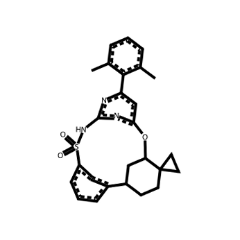 Cc1cccc(C)c1-c1cc2nc(n1)NS(=O)(=O)c1cccc(c1)C1CCC3(CC3)C(C1)O2